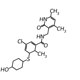 Cc1cc(C)c(CNC(=O)C2=CC(Cl)=CC(SC3CCC(O)CC3)C2C)c(=O)[nH]1